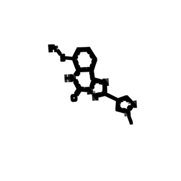 CC(C)Sc1cccc2c1[nH]c(=O)n1nc(-c3cnn(C)c3)nc21